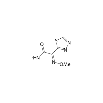 CO/N=C(/C([NH])=O)c1nncs1